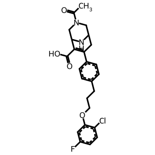 CC(=O)N1CC2CC(c3ccc(CCCOc4cc(F)ccc4Cl)cc3)=C(C(=O)O)C(C1)N2